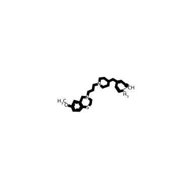 C#C/C=C(\C=C/C)CC1CCN(CCCN2CCSc3ccc(OC)cc3C2)CC1